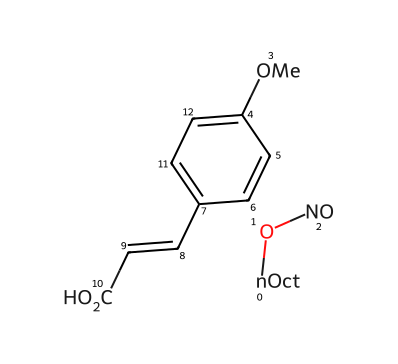 CCCCCCCCON=O.COc1ccc(C=CC(=O)O)cc1